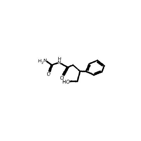 NC(=O)NC(=O)[CH]C(CO)c1ccccc1